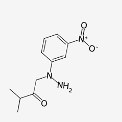 CC(C)C(=O)CN(N)c1cccc([N+](=O)[O-])c1